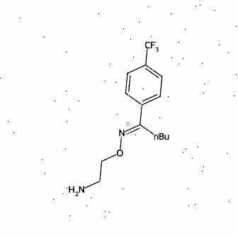 CCCC/C(=N\OCCN)c1ccc(C(F)(F)F)cc1